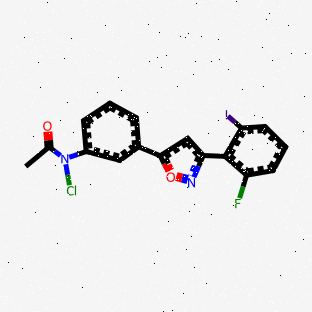 CC(=O)N(Cl)c1cccc(-c2cc(-c3c(F)cccc3I)no2)c1